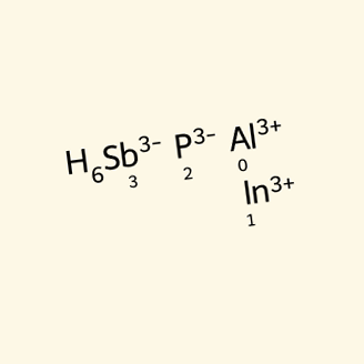 [Al+3].[In+3].[P-3].[SbH6-3]